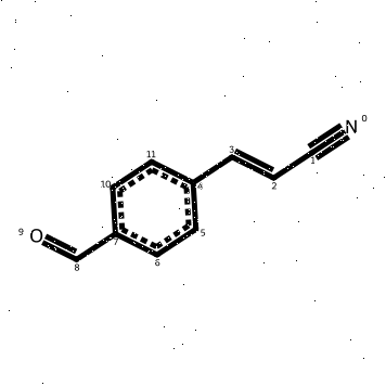 N#C/C=C/c1ccc(C=O)cc1